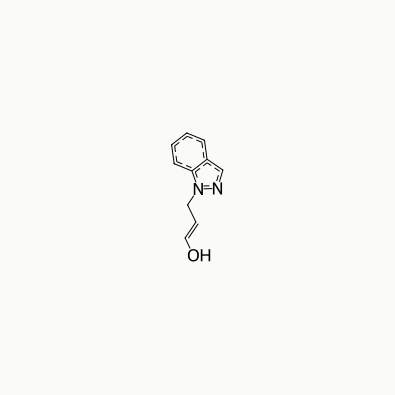 OC=CCn1ncc2ccccc21